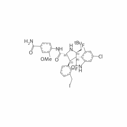 COc1cc(C(N)=O)ccc1NC(=O)[C@@H]1N[C@@H](CC(C)(C)C)[C@@]2(C(=O)Nc3cc(Cl)cc(F)c32)[C@H]1c1cccc(CI)c1F